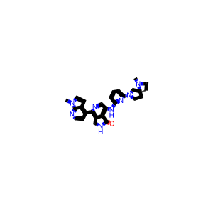 CN1CC[C@@]12CCN(c1cccc(Nc3cnc(-c4ccnc5c4ccn5C)c4c3C(=O)NC4)n1)C2